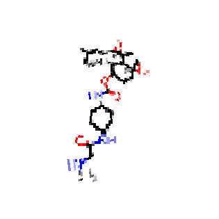 BNCC(=O)N[C@H]1CC[C@H](NC(=O)OC2CC[C@]3(CO3)C(C3(C)O[C@@H]3CC=C(C)C)C2OC)CC1